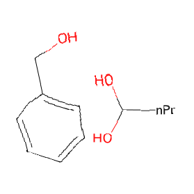 CCCC(O)O.OCc1ccccc1